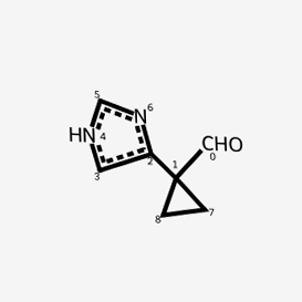 O=CC1(c2c[nH]cn2)CC1